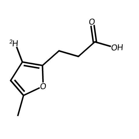 [2H]c1cc(C)oc1CCC(=O)O